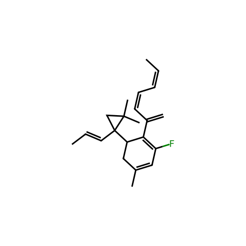 C=C(/C=C\C=C/C)C1=C(F)C=C(C)CC1C1(C=CC)CC1(C)C